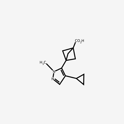 Cn1ncc(C2CC2)c1C12CC(C(=O)O)(C1)C2